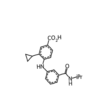 CC(C)NC(=O)c1cccc(Nc2ccc(C(=O)O)cc2C2CC2)c1